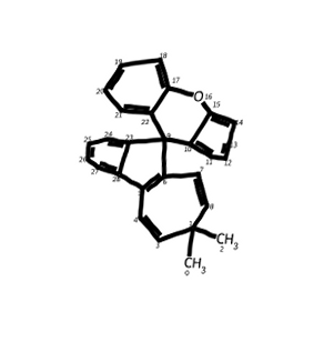 CC1(C)C=CC2=C(C=C1)C1(c3ccccc3Oc3ccccc31)c1ccccc12